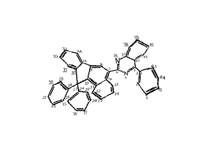 c1ccc(-c2nc(-c3cc4c(c5ccccc35)C(c3ccccc3)(c3ccccc3)c3ccccc3-4)nc3ccccc23)cc1